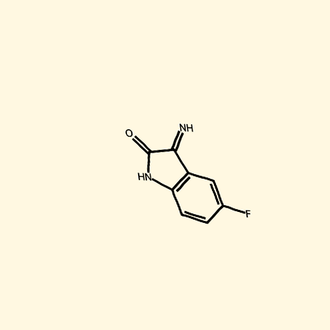 N=C1C(=O)Nc2ccc(F)cc21